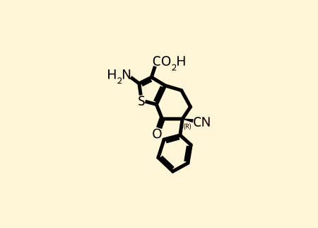 N#C[C@]1(c2ccccc2)CCc2c(sc(N)c2C(=O)O)C1=O